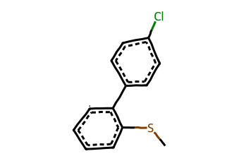 CSc1ccc[c]c1-c1ccc(Cl)cc1